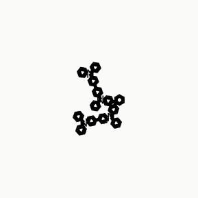 c1ccc(N(c2ccccc2)c2ccc(-c3ccc(N(c4ccccc4)c4ccc(C5(c6ccc(N(c7ccccc7)c7ccc(-c8ccc(N(c9ccccc9)c9ccccc9)cc8)cc7)cc6)CCCCC5)cc4)cc3)cc2)cc1